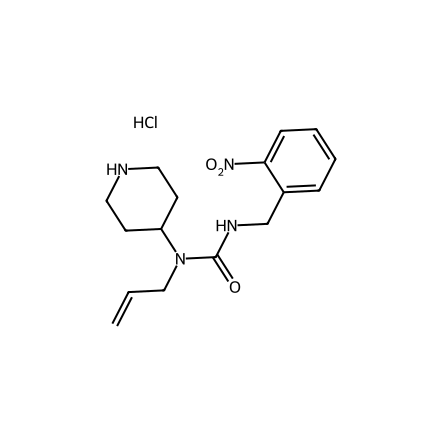 C=CCN(C(=O)NCc1ccccc1[N+](=O)[O-])C1CCNCC1.Cl